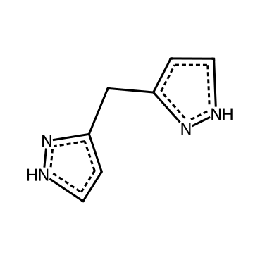 c1cc(Cc2cc[nH]n2)n[nH]1